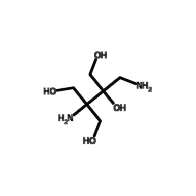 NCC(O)(CO)C(N)(CO)CO